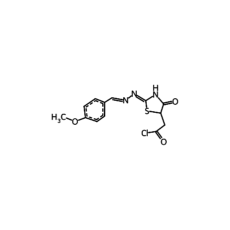 COc1ccc(C=NN=C2NC(=O)C(CC(=O)Cl)S2)cc1